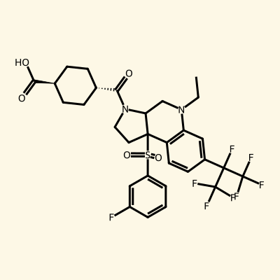 CCN1CC2N(C(=O)[C@H]3CC[C@H](C(=O)O)CC3)CCC2(S(=O)(=O)c2cccc(F)c2)c2ccc(C(F)(C(F)(F)F)C(F)(F)F)cc21